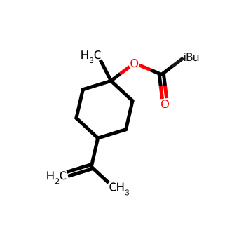 C=C(C)C1CCC(C)(OC(=O)C(C)CC)CC1